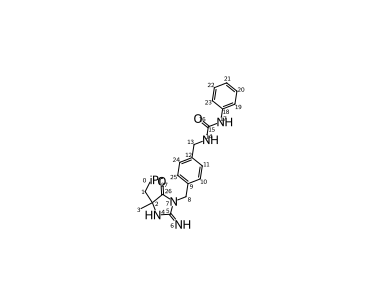 CC(C)CC1(C)NC(=N)N(Cc2ccc(CNC(=O)Nc3ccccc3)cc2)C1=O